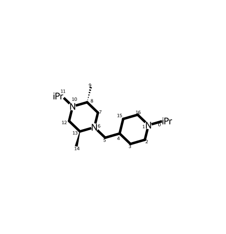 CC(C)N1CCC(CN2C[C@@H](C)N(C(C)C)C[C@@H]2C)CC1